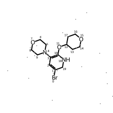 BrC1=CC(N2CCOCC2)=C(OC2CCOCC2)NC1